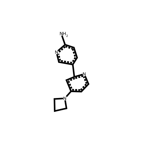 Nc1ccc(-c2cc(N3CCC3)ccn2)cn1